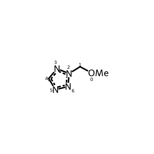 COCn1n[c]nn1